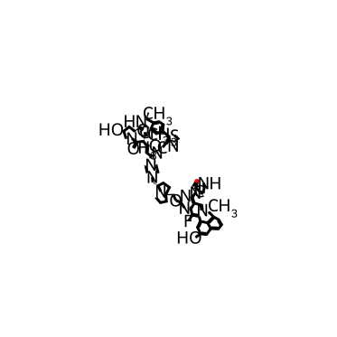 CCc1cccc2cc(O)cc(-c3ncc4c(N5CC6CCCC5CN6)nc(OC[C@@]56CCCN5[C@H](CN5CCN(c7cc([C@H](C(=O)N8C[C@H](O)C[C@H]8C(=O)N[C@@H](C)c8ccc(-c9scnc9C)cc8)C(C)C)on7)CC5)CC6)nc4c3F)c12